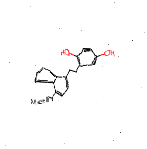 CNc1ccc(CCc2cc(O)ccc2O)c2ccccc12